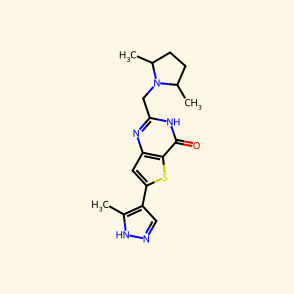 Cc1[nH]ncc1-c1cc2nc(CN3C(C)CCC3C)[nH]c(=O)c2s1